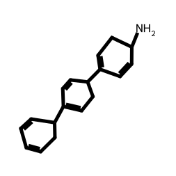 NC1C=CC(C2C=CC(C3C=CC=CC3)=CC2)=CC1